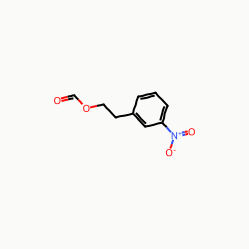 O=COCCc1cccc([N+](=O)[O-])c1